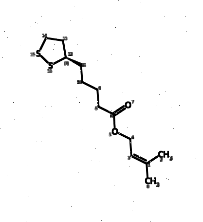 CC(C)=CCOC(=O)CCCC[C@@H]1CCSS1